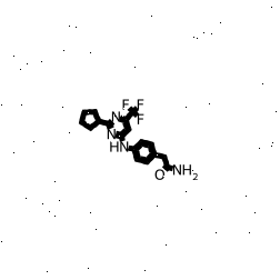 NC(=O)Cc1ccc(Nc2cc(C(F)(F)F)nc(C3CCCC3)n2)cc1